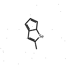 CC1=[C]C2=CC=CC2[Se]1